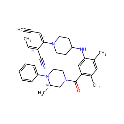 C#C/C=C(\C(C#N)=C/C)N1CCC(Nc2cc(C(=O)N3CCN(c4ccccc4)[C@@H](C)C3)c(C)cc2C)CC1